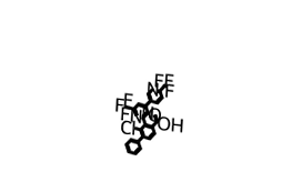 O=C(O)c1ccc(-c2ccccc2)c(Cl)c1-c1nc(-c2ccc(C(F)(F)F)nc2)cc(C(F)(F)F)n1